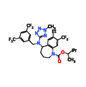 CCc1cc2c(cc1C(F)(F)F)N(C(=O)OC(C)C(C)C)CCCC2N(Cc1cc(C(F)(F)F)cc(C(F)(F)F)c1)c1nnn(C)n1